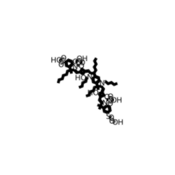 CCCCCCC1(C)C(=CC2=C(O)C(=CC3=[N+](CCCCC)c4cc5c(cc4C3CCCCC)[N+](CCCCC)=C(C=C3C(=O)C(C=C4N(CS(=O)(=O)O)c6ccc(SOOO)cc6C4(C)C)=C3O)C5(C)CCCCC)C2=O)N(CS(=O)(=O)O)c2ccc(S(=O)(=O)O)cc21